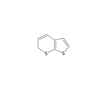 C1=Cc2ccsc2SC1